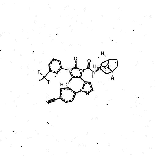 Cc1c(-c2ccnn2-c2ccc(C#N)cc2)n(C(=O)N[C@H]2C[C@H]3CC[C@@H](C2)[N+]3(C)C)c(=O)n1-c1cccc(C(F)(F)F)c1